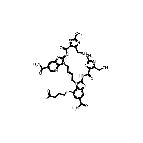 CCc1nc(C)sc1C(=O)/N=c1\sc2cc(C(N)=O)cnc2n1C/C=C/Cn1c(NC(=O)c2sc(C)nc2CC)nc2cc(C(N)=O)cc(OCCCC(=O)O)c21